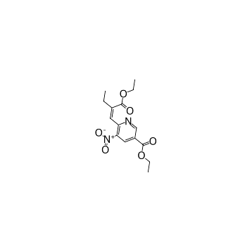 CCOC(=O)C(=Cc1ncc(C(=O)OCC)cc1[N+](=O)[O-])CC